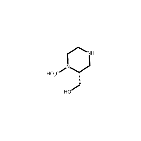 O=C(O)N1CCNC[C@@H]1CO